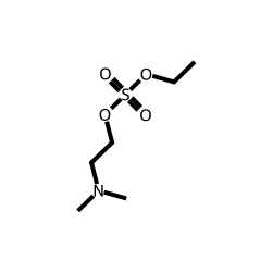 CCOS(=O)(=O)OCCN(C)C